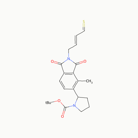 Cc1c(C2CCCN2C(=O)OC(C)(C)C)ccc2c1C(=O)N(CC=CC=S)C2=O